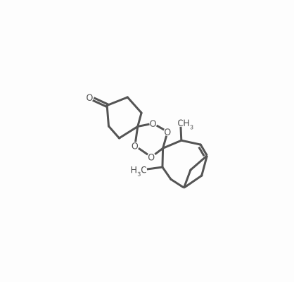 CC1C=C2CC(C2)CC(C)C12OOC1(CCC(=O)CC1)OO2